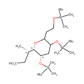 C[C@@H](CC(=O)O)[C@@H]1OC(CCO[Si](C)(C)C(C)(C)C)C(O[Si](C)(C)C(C)(C)C)C[C@@H]1O[Si](C)(C)C(C)(C)C